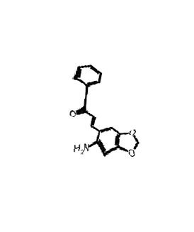 Nc1cc2c(cc1C=CC(=O)c1ccccc1)OCO2